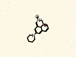 O=C1C[N+](=O)C=C2C=C(N3CCCCC3)C=C3C=CC=CC132